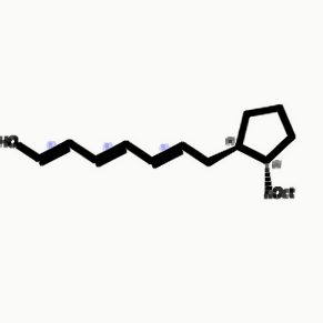 CCCCCCCC[C@H]1CCC[C@@H]1C/C=C/C=C/C=C/O